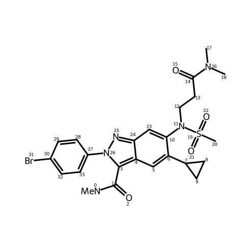 CNC(=O)c1c2cc(C3CC3)c(N(CCC(=O)N(C)C)S(C)(=O)=O)cc2nn1-c1ccc(Br)cc1